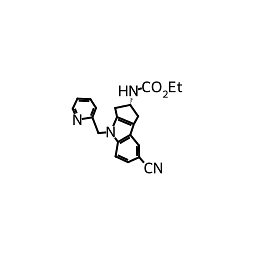 CCOC(=O)N[C@@H]1Cc2c(n(Cc3ccccn3)c3ccc(C#N)cc23)C1